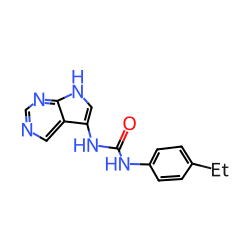 CCc1ccc(NC(=O)Nc2c[nH]c3ncncc23)cc1